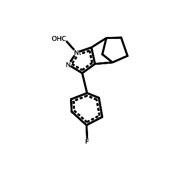 O=Cn1nc(-c2ccc(F)cc2)c2c1C1CCC2C1